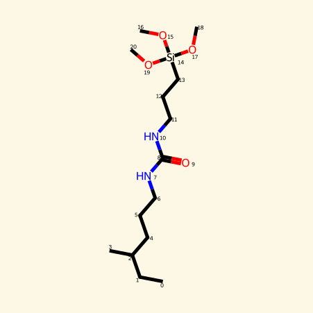 CCC(C)CCCNC(=O)NCCC[Si](OC)(OC)OC